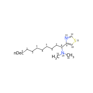 CCCCCCCCCCCCCCCCCC(c1cscn1)N(C)C